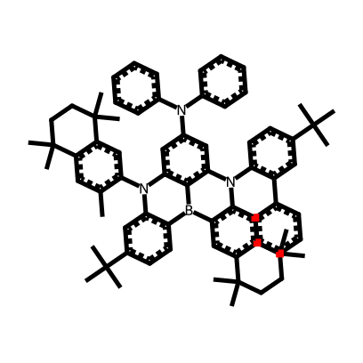 Cc1cc2c(cc1N1c3cc(C(C)(C)C)ccc3B3c4cc5c(cc4N(c4ccc(C(C)(C)C)cc4-c4ccccc4)c4cc(N(c6ccccc6)c6ccccc6)cc1c43)C(C)(C)CCC5(C)C)C(C)(C)CCC2(C)C